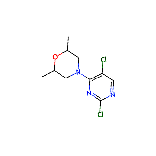 CC1CN(c2nc(Cl)ncc2Cl)CC(C)O1